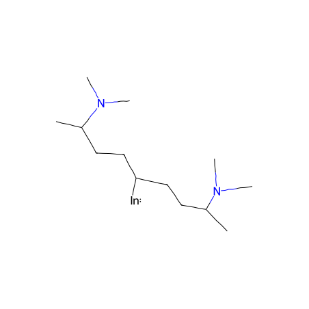 CC(CC[CH]([In])CCC(C)N(C)C)N(C)C